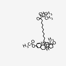 CC(=O)Oc1ccc2c(c1)CC[C@@H]1[C@@H]2[C@@H](CCCCCCCCCCC(=O)N(C)C(C)C)C[C@]2(C)C(=O)CC[C@@H]12